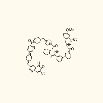 CCOc1cc(OC)ccc1CNCC(=O)N1CCC[C@@H](c2cccc(C(=O)N[C@@H](C(=O)N3CCN(CC4CCN(C(=O)c5ccc(N6CCN(Cc7cnc8cc(CC)c(=O)[nH]c8c7)CC6)cn5)CC4)CC3)C3CCCCC3)c2)C1